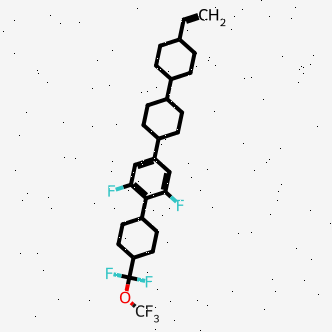 C=CC1CCC(C2CCC(c3cc(F)c(C4CCC(C(F)(F)OC(F)(F)F)CC4)c(F)c3)CC2)CC1